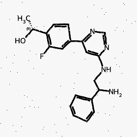 C[C@@H](O)c1ccc(-c2cc(NCC(N)c3ccccc3)ncn2)cc1F